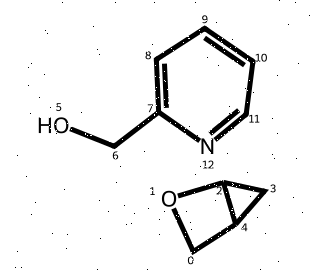 C1OC2CC12.OCc1ccccn1